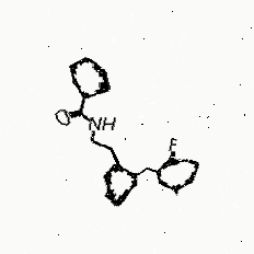 O=C(NCCc1ccccc1Cc1ccccc1F)c1ccccc1